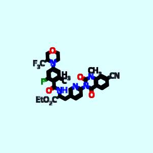 CCOC(=O)[C@H](Cc1ccc(-n2c(=O)c3ccc(C#N)cc3n(C)c2=O)nc1)NC(=O)c1c(C)cc(N2CCOC[C@@H]2C(F)(F)F)cc1F